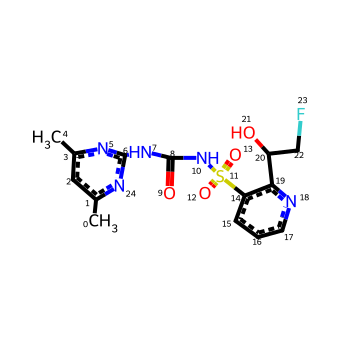 Cc1cc(C)nc(NC(=O)NS(=O)(=O)c2cccnc2C(O)CF)n1